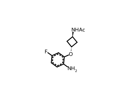 CC(=O)N[C@H]1C[C@H](Oc2cc(F)ccc2N)C1